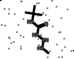 CNNNC(=O)NC(C)(C)C